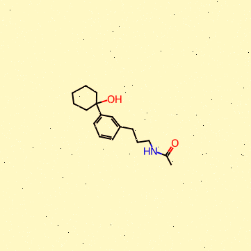 CC(=O)NCCCc1cccc(C2(O)CCCCC2)c1